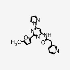 Cc1ccc(-c2nc(NC(=O)Cc3cccnc3)cc(-n3cccn3)n2)o1